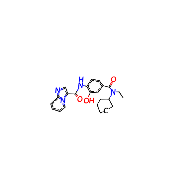 CCN(C(=O)c1ccc(NC(=O)c2cnc3ccccn23)c(O)c1)C1CCCCC1